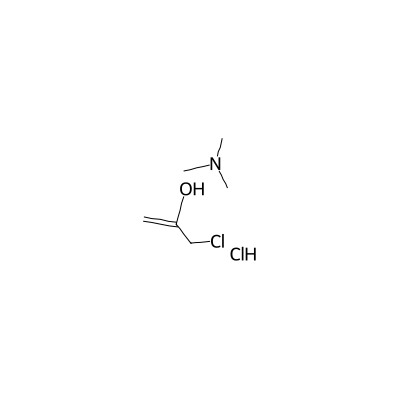 C=C(O)CCl.CN(C)C.Cl